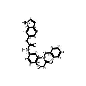 O=C(Cc1ccc2cc[nH]c2c1)Nc1ccc2c(c1)N(Cc1ccccc1)C(=O)CS2